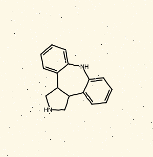 c1ccc2c(c1)Nc1ccccc1C1CNCC21